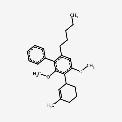 CCCCCc1cc(OC)c(C2C=C(C)CCC2)c(OC)c1-c1ccccc1